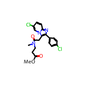 COC(=O)CCN(C)C(=O)Cc1c(-c2ccc(Cl)cc2)nc2ccc(Cl)cn12